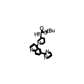 CC(C)(C)OC(=O)NC1CCCN(c2ccnc3ccc(-c4n[c]ccn4)cc23)C1